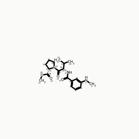 CNc1cccc(C(=O)N[C@H](C(=O)N2CCC[C@H]2C(=O)OC)C(C)C)c1